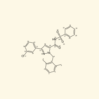 Cc1cccc(C)c1Cn1nc(-c2cccc(Cl)c2)cc1C(=O)NS(=O)(=O)c1ccccc1